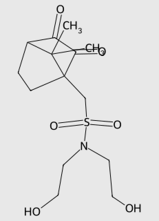 CC1(C)C2CCC1(CS(=O)(=O)N(CCO)CCO)C(=O)C2=O